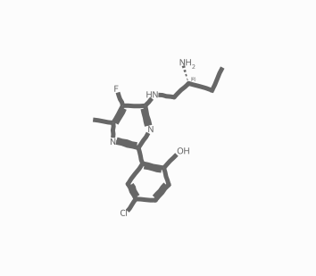 CC[C@@H](N)CNc1nc(-c2cc(Cl)ccc2O)nc(C)c1F